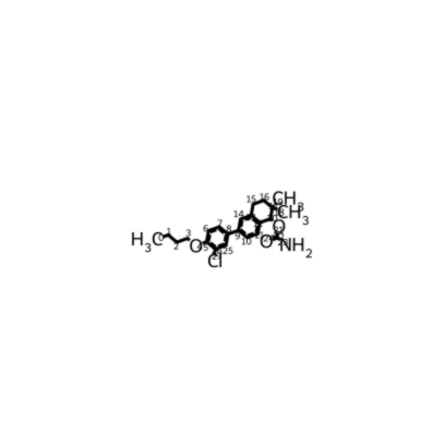 CCCCOc1ccc(-c2ccc3c(c2)CCC(C)(C)C3OC(N)=O)cc1Cl